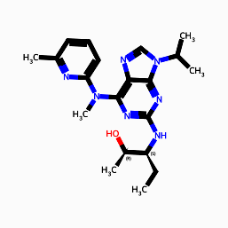 CC[C@H](Nc1nc(N(C)c2cccc(C)n2)c2ncn(C(C)C)c2n1)[C@@H](C)O